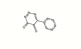 O=C1N=NN=C(c2ccccc2)C1=O